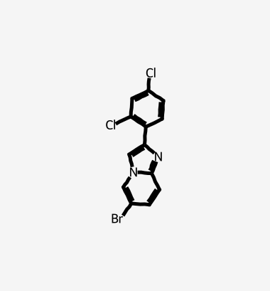 Clc1ccc(-c2cn3cc(Br)ccc3n2)c(Cl)c1